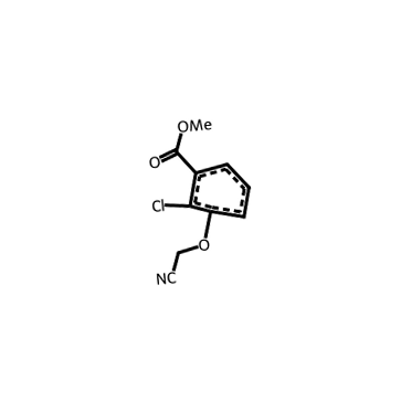 COC(=O)c1cccc(OCC#N)c1Cl